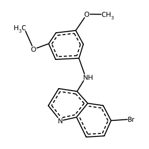 COc1cc(Nc2ccnc3ccc(Br)cc23)cc(OC)c1